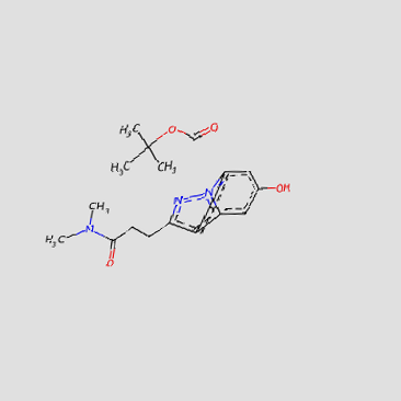 CC(C)(C)OC=O.CN(C)C(=O)CCc1nn2c3cc(O)cc2c13